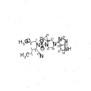 CCCC(C#N)N(CCOC)S(=O)(=O)N1CCN(c2ncnc3[nH]ccc23)CC12CC2